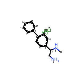 CNC(CN)c1ccc(-c2ccccc2)cc1.Cl.Cl